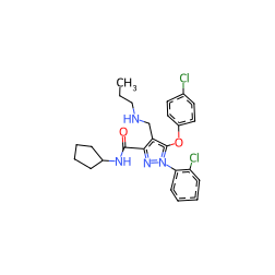 CCCNCc1c(C(=O)NC2CCCC2)nn(-c2ccccc2Cl)c1Oc1ccc(Cl)cc1